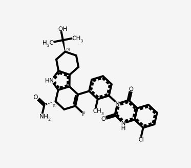 Cc1c(C2=C(F)C[C@H](C(N)=O)c3[nH]c4c(c32)CC[C@H](C(C)(C)O)C4)cccc1-n1c(=O)[nH]c2c(Cl)cccc2c1=O